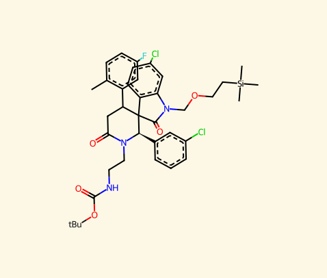 Cc1ccc(F)cc1C1CC(=O)N(CCNC(=O)OC(C)(C)C)[C@H](c2cccc(Cl)c2)C12C(=O)N(COCC[Si](C)(C)C)c1cc(Cl)ccc12